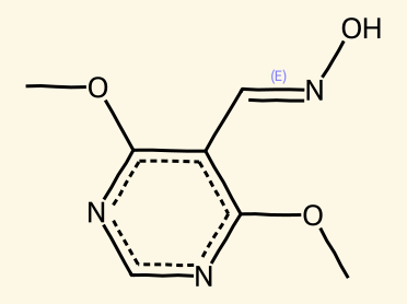 COc1ncnc(OC)c1/C=N/O